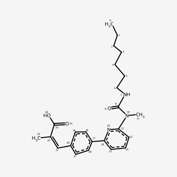 CCCCCCCNC(=O)N(C)c1cccc(-c2ccc(C=C(C)C(=O)O)cc2)n1